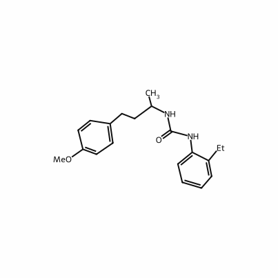 CCc1ccccc1NC(=O)NC(C)CCc1ccc(OC)cc1